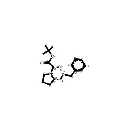 CC(C)(C)OC(=O)[C@H](O)N1CCC[C@H]1COCc1ccccc1